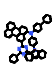 c1ccc(-c2ccc(N(c3ccc(-c4cccc5cccc(-c6cccc(-c7nc(-c8ccccc8)nc(-c8ccccc8)n7)c6)c45)cc3)c3ccc(-n4c5ccccc5c5ccccc54)cc3)cc2)cc1